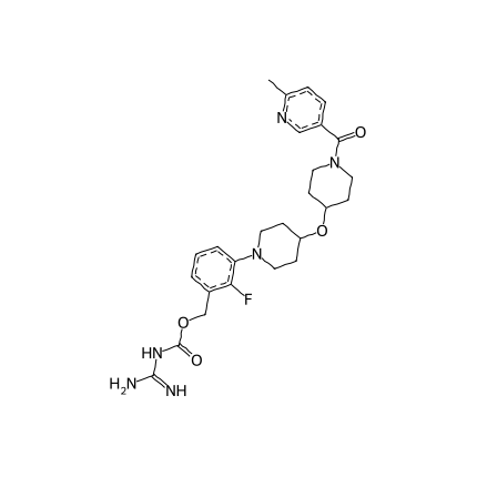 Cc1ccc(C(=O)N2CCC(OC3CCN(c4cccc(COC(=O)NC(=N)N)c4F)CC3)CC2)cn1